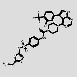 CCc1nnc(NS(=O)(=O)c2ccc(NC(=S)N3CCN(c4ncnc5[nH]cc(-c6ccc(C(F)(F)F)c(Cl)c6)c45)CC3)cc2)s1